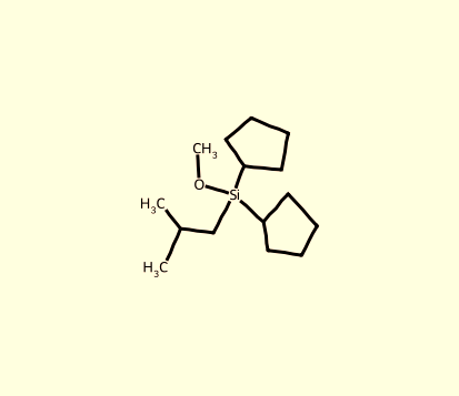 CO[Si](CC(C)C)(C1CCCC1)C1CCCC1